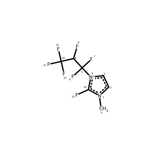 Cn1cc[n+](C(F)(F)C(F)C(F)(F)F)c1F